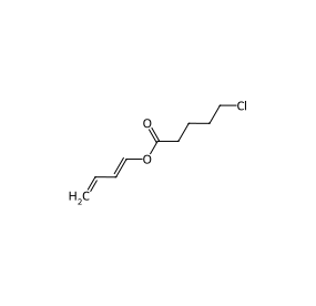 C=CC=COC(=O)CCCCCl